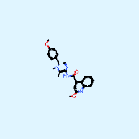 C=N/C(NC(=O)c1cc(OC)nc2ccccc12)=C(/C)N(C)Cc1ccc(OC)cc1